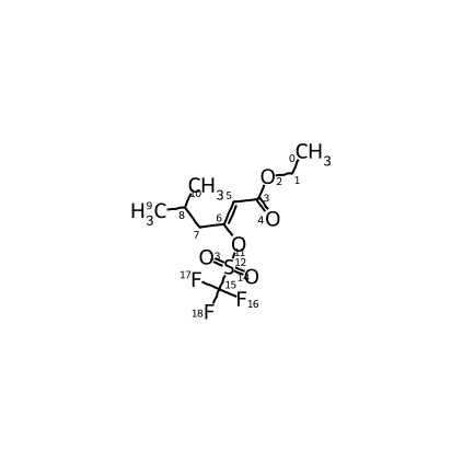 CCOC(=O)C=C(CC(C)C)OS(=O)(=O)C(F)(F)F